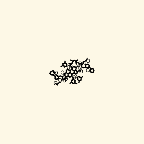 C=C(C)/C=C(C)\C=C(/C)Oc1cc2c3c(cc(Oc4cc(C)cc(C)c4)c4c5c(Oc6cc(C)cc(C)c6)cc6c7c(cc(Oc8cc(C)cc(C)c8)c(c1c34)c75)C(=O)N(C(Cc1cccc3c1oc1ccccc13)C(=O)OCC1CO1)C6=O)C(=O)N(C(Cc1cccc3c1oc1ccccc13)C(=O)OCC1CO1)C2=O